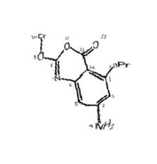 CCCc1cc(N)cc2nc(OCC)oc(=O)c12